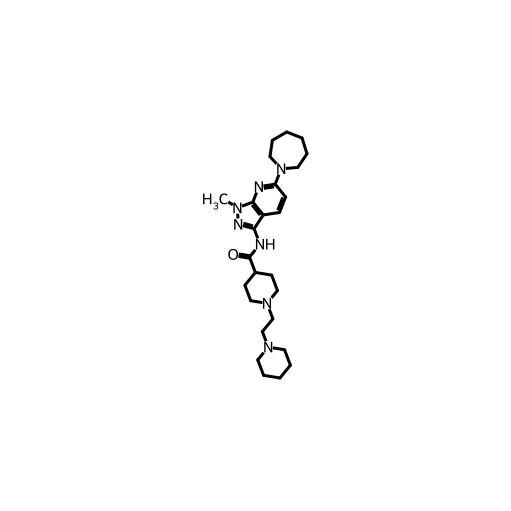 Cn1nc(NC(=O)C2CCN(CCN3CCCCC3)CC2)c2ccc(N3CCCCCC3)nc21